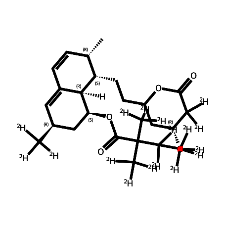 [2H]O[C@@H]1CC(CC[C@@H]2[C@@H]3C(=C[C@H](C([2H])([2H])[2H])C[C@@H]3OC(=O)C(C([2H])([2H])[2H])(C([2H])([2H])[2H])C([2H])([2H])C([2H])([2H])[2H])C=C[C@@H]2C)OC(=O)C1([2H])[2H]